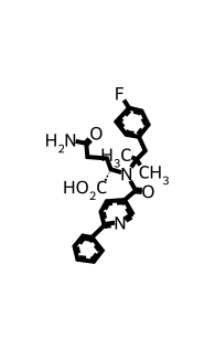 CC(C)(Cc1ccc(F)cc1)N(C(=O)c1ccc(-c2ccccc2)nc1)[C@@H](CCC(N)=O)C(=O)O